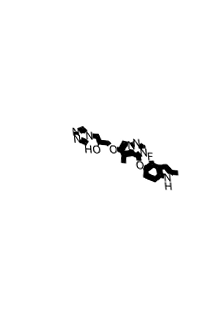 Cc1cc2c(F)c(Oc3ncnn4cc(OC[C@H](O)Cn5cnnc5)c(C)c34)ccc2[nH]1